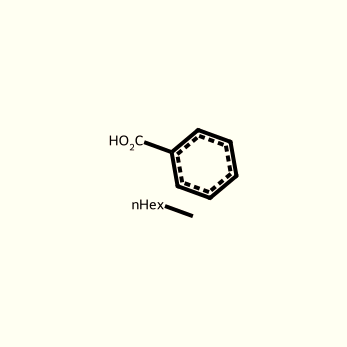 CCCCCCC.O=C(O)c1ccccc1